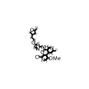 COc1cnc(Cl)cc1-c1cc(C)ncc1C(=O)Nc1nnc(OCCC2COC(C)C2)s1